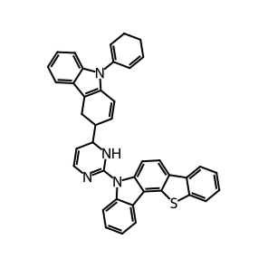 C1=CC(n2c3c(c4ccccc42)CC(C2C=CN=C(n4c5ccccc5c5c6sc7ccccc7c6ccc54)N2)C=C3)=CCC1